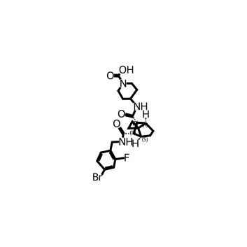 O=C(NCc1ccc(Br)cc1F)[C@@H]1[C@H](C(=O)NC2CCN(C(=O)O)CC2)[C@H]2CC[C@@H]1C21CC1